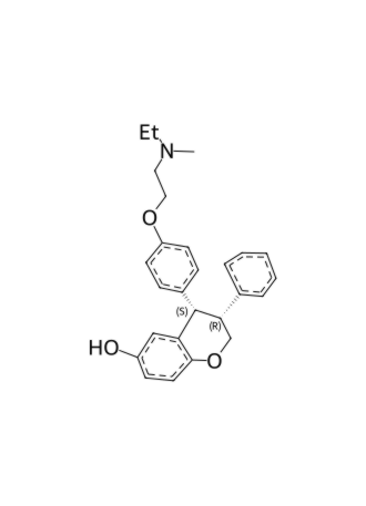 CCN(C)CCOc1ccc([C@H]2c3cc(O)ccc3OC[C@H]2c2ccccc2)cc1